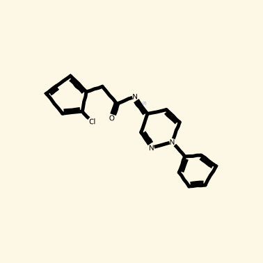 O=C(Cc1ccccc1Cl)/N=c1/ccn(-c2ccccc2)nc1